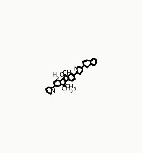 CC1(C)C2=C(c3ccc(-c4ccccn4)cc31)C(C)(C)c1cc(-c3ccc(-c4ccc5ccccc5c4)cn3)ccc12